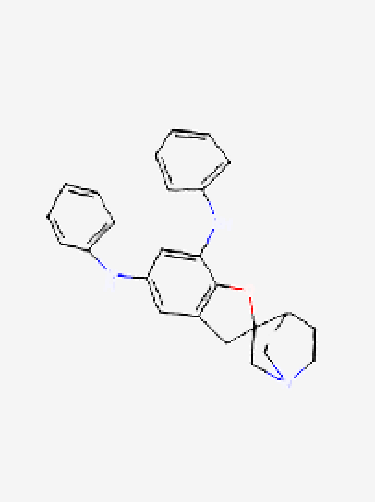 c1ccc(Nc2cc3c(c(Nc4ccccc4)c2)OC2(C3)CN3CCC2CC3)cc1